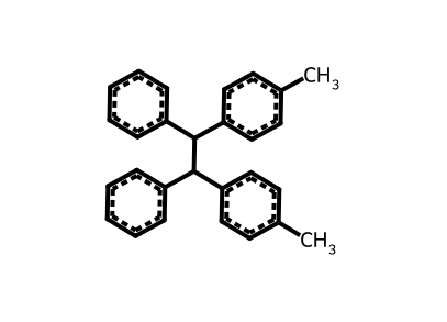 Cc1ccc(C(c2ccccc2)C(c2ccccc2)c2ccc(C)cc2)cc1